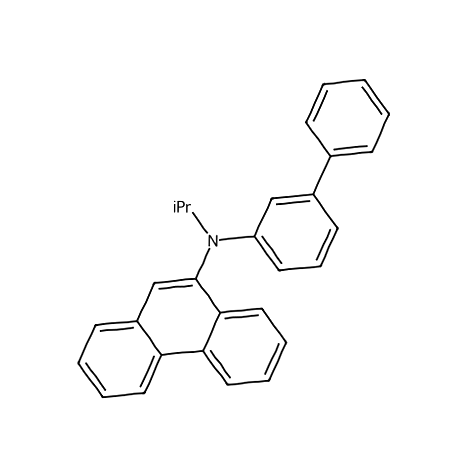 CC(C)N(c1cccc(-c2ccccc2)c1)c1cc2ccccc2c2ccccc12